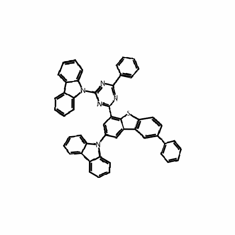 c1ccc(-c2ccc3sc4c(-c5nc(-c6ccccc6)nc(-n6c7ccccc7c7ccccc76)n5)cc(-n5c6ccccc6c6ccccc65)cc4c3c2)cc1